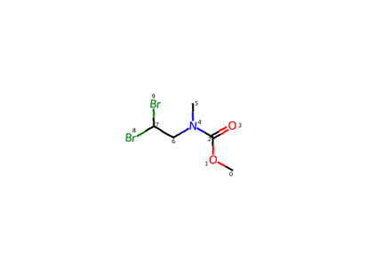 COC(=O)N(C)CC(Br)Br